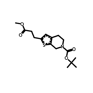 COC(=O)CCc1cc2c(s1)CN(C(=O)OC(C)(C)C)CC2